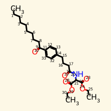 CCCCCCCCCC(=O)c1ccc(CCCC(=O)NC(C(=O)OCC)C(=O)OCC)cc1